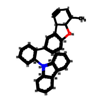 CC1=CC#CC2c3cc(-c4ccccc4-n4c5ccccc5c5ccccc54)ccc3OC12